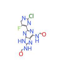 O=CNc1nc2c(NC=O)nc(-c3nc(Cl)ncc3F)nc2[nH]1